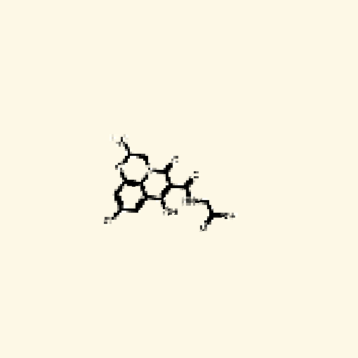 CC1Cn2c(=O)c(C(=O)NCC(=O)O)c(O)c3cc(Cl)cc(c32)O1